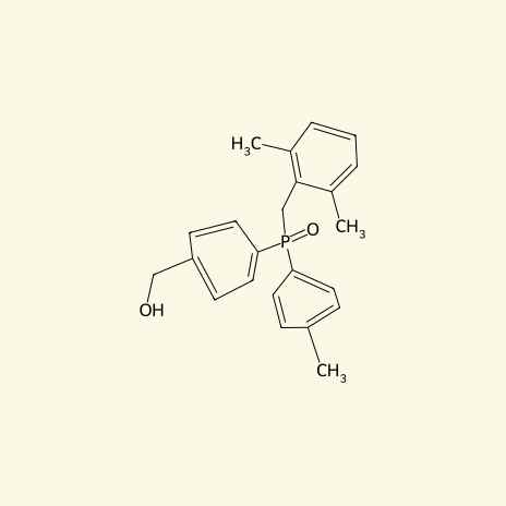 Cc1ccc(P(=O)(Cc2c(C)cccc2C)c2ccc(CO)cc2)cc1